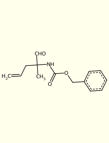 C=CCC(C)(C=O)NC(=O)OCc1ccccc1